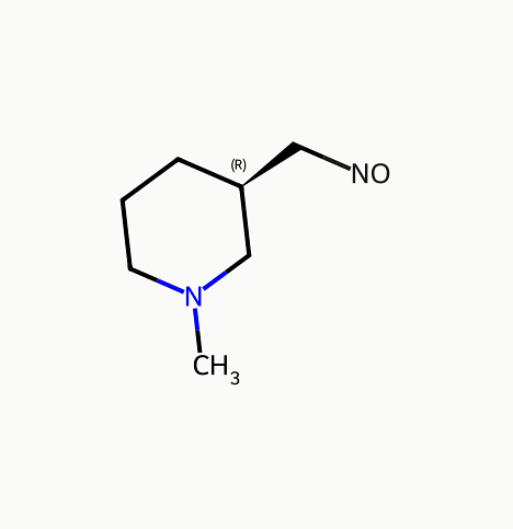 CN1CCC[C@@H](CN=O)C1